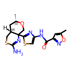 Cc1cc(C(=O)Nc2csc(C34CO[C@@H](C)C[C@H]3CSC(N)=N4)n2)no1